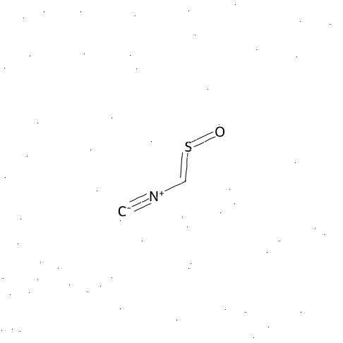 [C-]#[N+]C=S=O